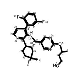 CC(CCO)Oc1ncc(C(=O)Nc2c(-c3cc(F)ccc3F)ccnc2C2CCC(F)(F)CC2)cn1